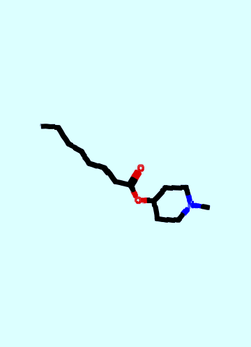 CCCCCCCC(=O)OC1CCN(C)CC1